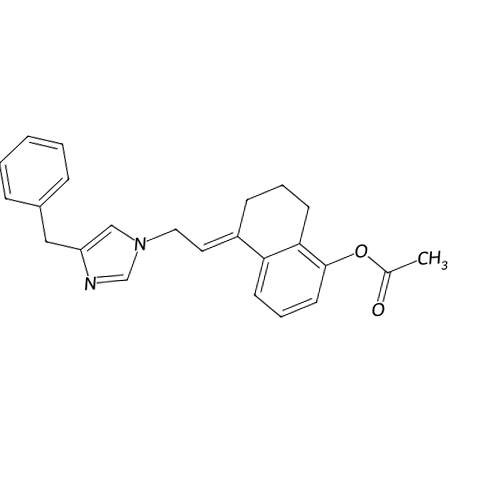 CC(=O)Oc1cccc2c1CCCC2=CCn1cnc(Cc2ccccc2)c1